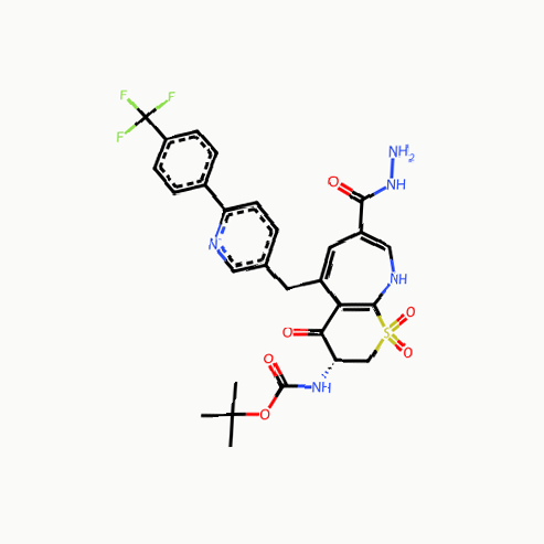 CC(C)(C)OC(=O)N[C@H]1CS(=O)(=O)C2=C(C1=O)C(Cc1ccc(-c3ccc(C(F)(F)F)cc3)nc1)=CC(C(=O)NN)=CN2